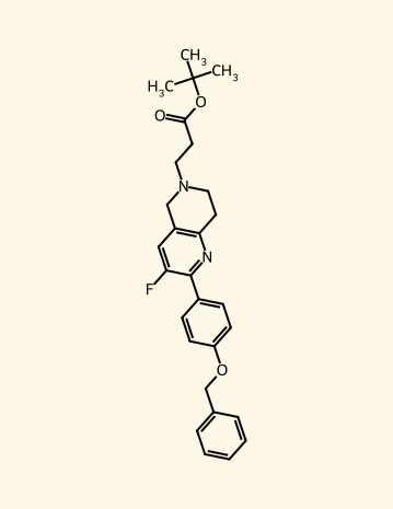 CC(C)(C)OC(=O)CCN1CCc2nc(-c3ccc(OCc4ccccc4)cc3)c(F)cc2C1